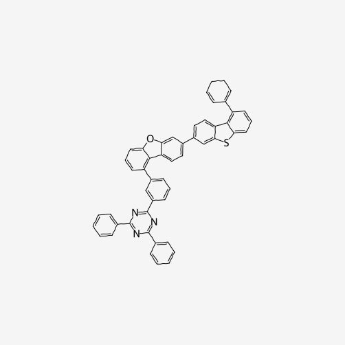 C1=CC(c2cccc3sc4cc(-c5ccc6c(c5)oc5cccc(-c7cccc(-c8nc(-c9ccccc9)nc(-c9ccccc9)n8)c7)c56)ccc4c23)=CCC1